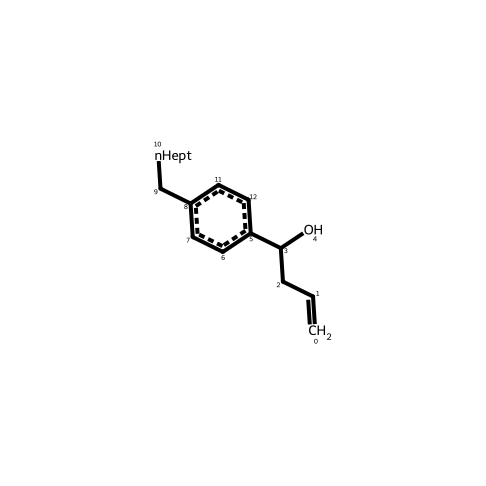 C=CCC(O)c1ccc(CCCCCCCC)cc1